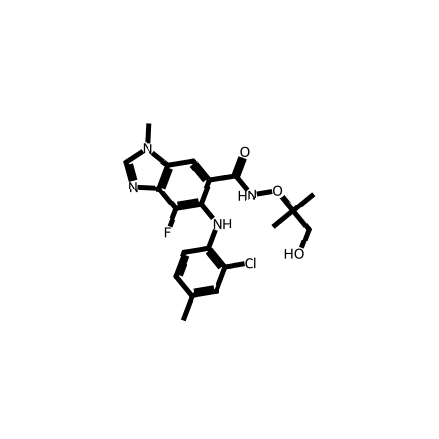 Cc1ccc(Nc2c(C(=O)NOC(C)(C)CO)cc3c(ncn3C)c2F)c(Cl)c1